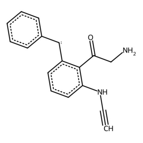 C#CNc1cccc([C]c2ccccc2)c1C(=O)CN